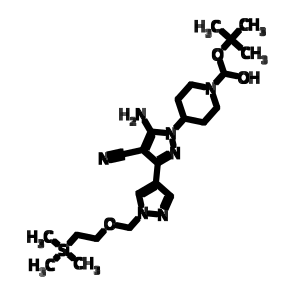 CC(C)(C)OC(O)N1CCC(n2nc(-c3cnn(COCC[Si](C)(C)C)c3)c(C#N)c2N)CC1